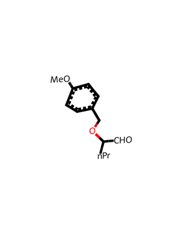 CCCC(C=O)OCc1ccc(OC)cc1